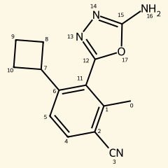 Cc1c(C#N)ccc(C2CCC2)c1-c1nnc(N)o1